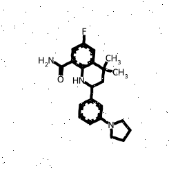 CC1(C)CC(c2cccc(N3CCCC3)c2)Nc2c(C(N)=O)cc(F)cc21